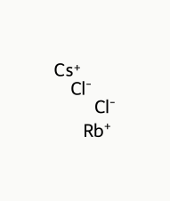 [Cl-].[Cl-].[Cs+].[Rb+]